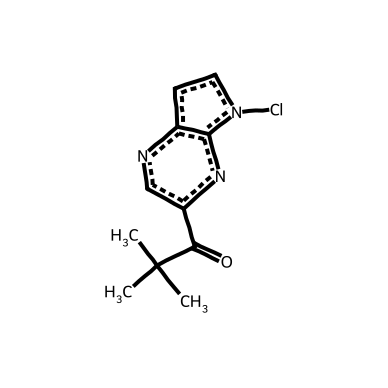 CC(C)(C)C(=O)c1cnc2ccn(Cl)c2n1